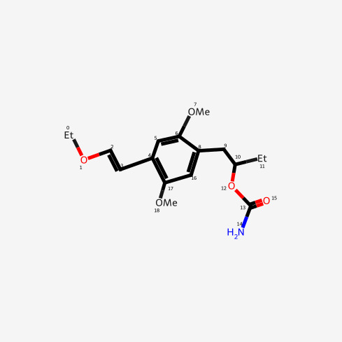 CCO/C=C/c1cc(OC)c(CC(CC)OC(N)=O)cc1OC